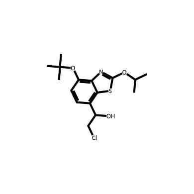 CC(C)Oc1nc2c(OC(C)(C)C)ccc(C(O)CCl)c2s1